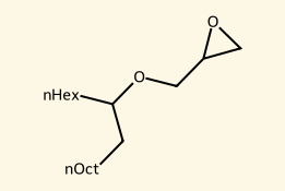 CCCCCCCCCC(CCCCCC)OCC1CO1